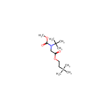 [CH2]OC(=O)N(CC(=O)OCC[Si](C)(C)C)C(C)(C)C